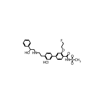 CS(=O)(=O)NC(=O)c1ccc(-c2ccc(CCNC[C@@H](O)c3ccccc3)cc2)cc1OCCF.Cl